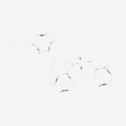 O=C(O)c1cccc(CCc2ccccc2NS(=O)(=O)Cc2ccccc2)c1